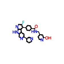 O=C(NCc1ccnc(O)c1)c1ccc(-c2c(F)cnc3[nH]c4cnc(-c5cccnc5)cc4c23)cc1